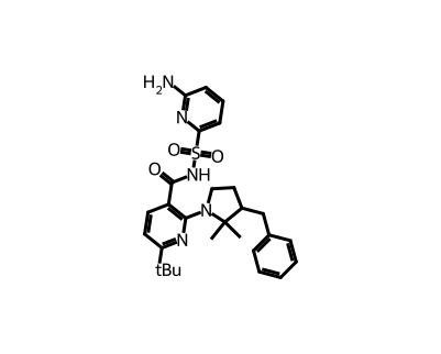 CC(C)(C)c1ccc(C(=O)NS(=O)(=O)c2cccc(N)n2)c(N2CCC(Cc3ccccc3)C2(C)C)n1